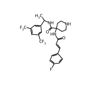 CC(NC(=O)C1(NC(=O)C=Cc2ccc(F)cc2)CCNCC1)c1cc(C(F)(F)F)cc(C(F)(F)F)c1